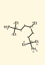 CCP(CCC(P)(CC)CC)CCC(P)(CC)CC